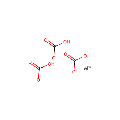 O=C([O-])O.O=C([O-])O.O=C([O-])O.[Al+3]